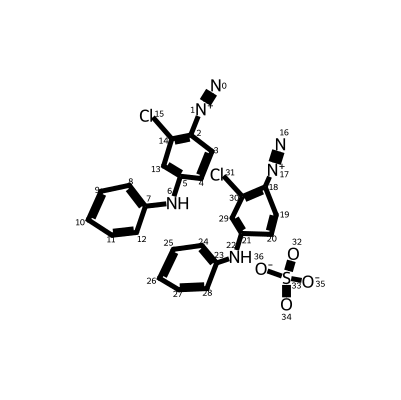 N#[N+]c1ccc(Nc2ccccc2)cc1Cl.N#[N+]c1ccc(Nc2ccccc2)cc1Cl.O=S(=O)([O-])[O-]